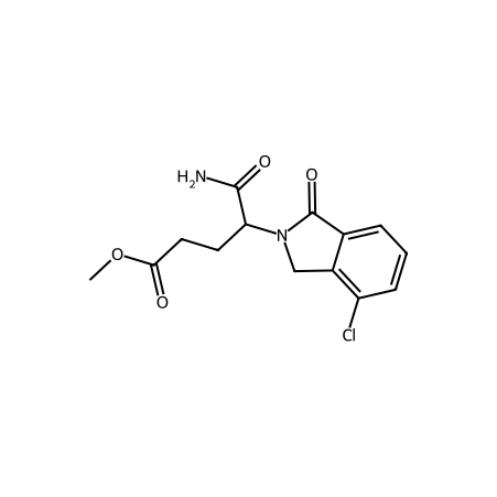 COC(=O)CCC(C(N)=O)N1Cc2c(Cl)cccc2C1=O